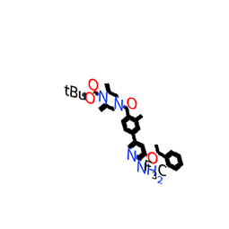 C=C1CN(C(=O)c2ccc(-c3cnc(N)c(OC(C)c4ccccc4C(F)(F)F)c3)cc2C)CC(=C)N1C(=O)OC(C)(C)C